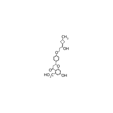 CC1CC(=C(O)CCOc2ccc(C3CC(=O)c4c(cc(O)cc4C(=O)O)O3)cc2)C1